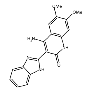 COc1cc2[nH]c(=O)c(-c3nc4ccccc4[nH]3)c(N)c2cc1OC